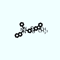 CC1(C)c2ccccc2-c2cc3c(cc21)Oc1ccc(-c2nc(-c4ccccc4)nc(-c4ccc5ccccc5c4)n2)cc1O3